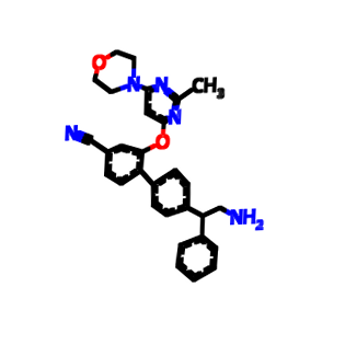 Cc1nc(Oc2cc(C#N)ccc2-c2ccc(C(CN)c3ccccc3)cc2)cc(N2CCOCC2)n1